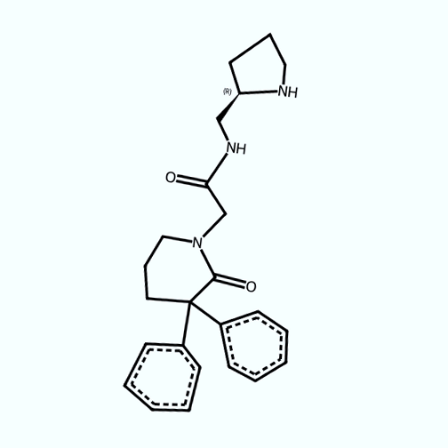 O=C(CN1CCCC(c2ccccc2)(c2ccccc2)C1=O)NC[C@H]1CCCN1